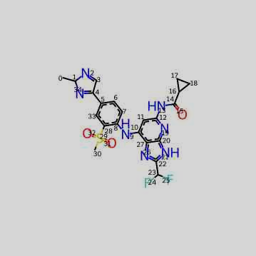 CC1N=CC(c2ccc(Nc3cc(NC(=O)C4CC4)nc4[nH]c(C(F)F)nc34)c(S(C)(=O)=O)c2)=N1